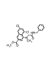 COC(=O)c1cc2cc(Cl)cc(Cl)c2c(N(C)CC(=O)NCc2ccccc2)n1